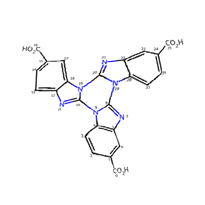 O=C(O)c1ccc2c(c1)nc1n2c2nc3ccc(C(=O)O)cc3n2c2nc3cc(C(=O)O)ccc3n12